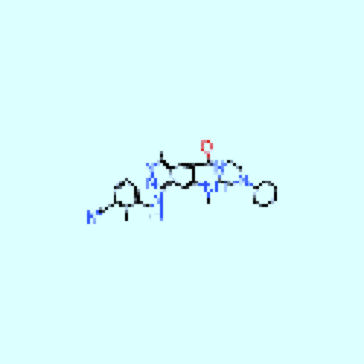 CNc1cc2c(N[C@H](C)c3cccc(C#N)c3C)nnc(C)c2cc1C(=O)N1CCN(C2CCCCC2)CC1